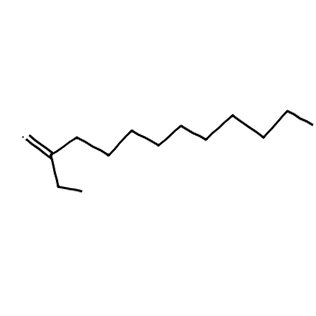 [CH]=C(CC)CCCCCCCCCC